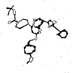 COc1ccc(COc2cc(C3CCN(C(=O)OC(C)(C)C)CC3)n3ncc(-c4coc(-c5ccccc5)n4)c3n2)cc1